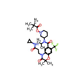 CC(C)N(C(=O)c1cc2c(cc1C(F)(F)F)OC(C)(C)C(=O)N2CCC(=O)NC1CC1)C1CCCN(OC(=O)C(C)(C)C)C1